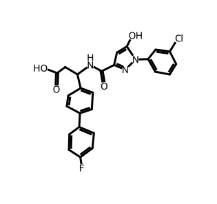 O=C(O)CC(NC(=O)c1cc(O)n(-c2cccc(Cl)c2)n1)c1ccc(-c2ccc(F)cc2)cc1